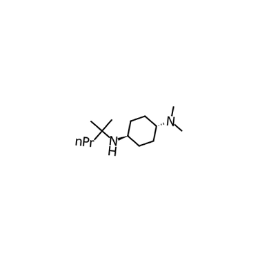 CCCC(C)(C)N[C@H]1CC[C@H](N(C)C)CC1